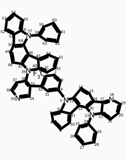 FC(F)(F)c1ccc(-n2c3ccccc3c3c2ccc2c4ncccc4n(-c4ccccc4)c23)cc1-c1cnccc1-n1c2ccccc2c2c1ccc1c3ccccc3n(-c3ccccc3)c12